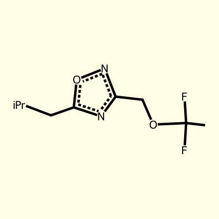 CC(C)Cc1nc(COC(C)(F)F)no1